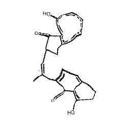 C/C(=C/C1Cc2cccc(O)c2C1=O)C1=CC=C2CCC(O)=C2C1=O